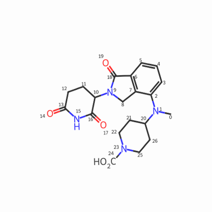 CN(c1cccc2c1CN(C1CCC(=O)NC1=O)C2=O)C1CCN(C(=O)O)CC1